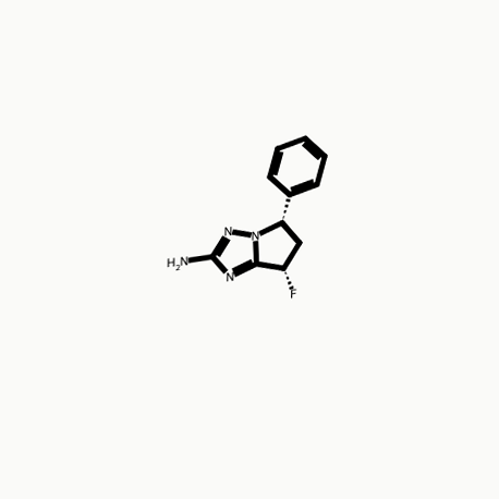 Nc1nc2n(n1)[C@H](c1ccccc1)C[C@@H]2F